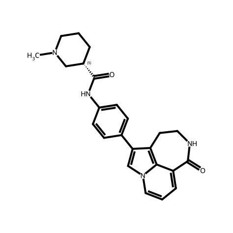 CN1CCC[C@H](C(=O)Nc2ccc(-c3cn4cccc5c4c3CCNC5=O)cc2)C1